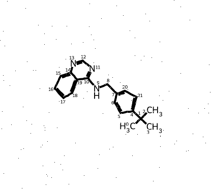 CC(C)(C)c1ccc(CNc2ncnc3ccccc23)cc1